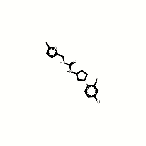 Cc1ccc(CNC(=O)NC2CC[C@H](c3ccc(Cl)cc3F)C2)o1